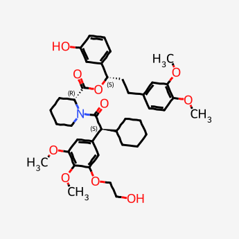 COc1ccc(CC[C@H](OC(=O)[C@H]2CCCCN2C(=O)[C@H](c2cc(OC)c(OC)c(OCCO)c2)C2CCCCC2)c2cccc(O)c2)cc1OC